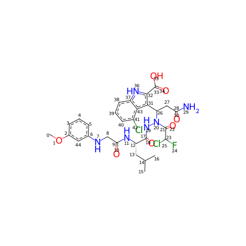 COc1cccc(NCC(=O)N[C@@H](CC(C)C)C(=O)NN(C(=O)C(F)Cl)C(CC(N)=O)c2c(C(=O)O)[nH]c3cccc(Cl)c23)c1